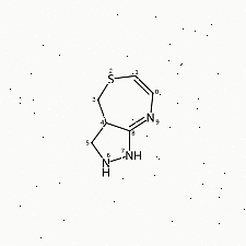 C1=CSCC2CNNC2=N1